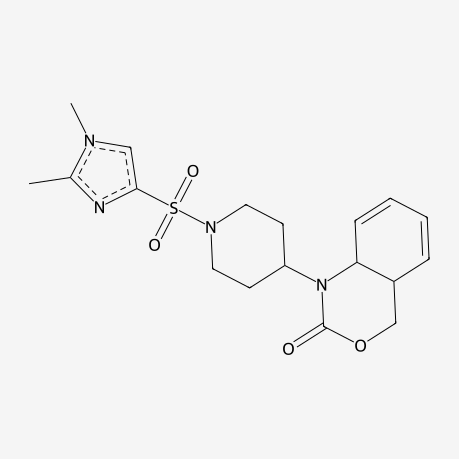 Cc1nc(S(=O)(=O)N2CCC(N3C(=O)OCC4C=CC=CC43)CC2)cn1C